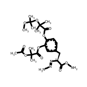 COC(C)(C)OC(C)(C)C(=O)Oc1ccc(C[C@H](N=NN)C(=O)ON)cc1OC(=O)C(C)(C)OC(C)=O